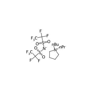 CCCC[N+]1(CCC)CCCC1.O=S(=O)([N-]S(=O)(=O)C(F)(F)C(F)(F)F)C(F)(F)C(F)(F)F